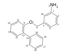 Nc1cccc(COc2[c]cccc2-c2ccccc2)c1